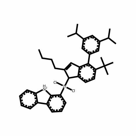 CCCCC1=Cc2c(ccc(C(C)(C)C)c2-c2cc(C(C)C)cc(C(C)C)c2)[CH]1[Zr]([Cl])([Cl])[c]1cccc2c1[SiH2]c1ccccc1-2